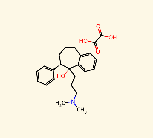 CN(C)CCC[C@]1(O)c2ccccc2CCC[C@@H]1c1ccccc1.O=C(O)C(=O)O